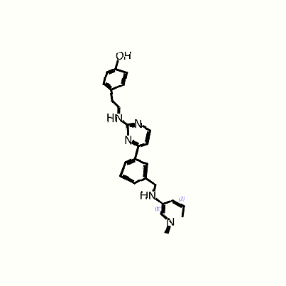 C=N/C=C(\C=C/C)NCc1cccc(-c2ccnc(NCCc3ccc(O)cc3)n2)c1